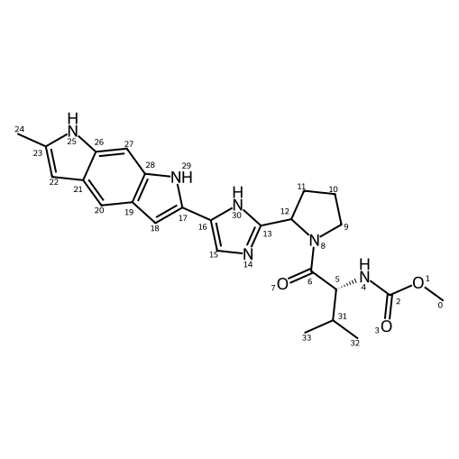 COC(=O)N[C@@H](C(=O)N1CCCC1c1ncc(-c2cc3cc4cc(C)[nH]c4cc3[nH]2)[nH]1)C(C)C